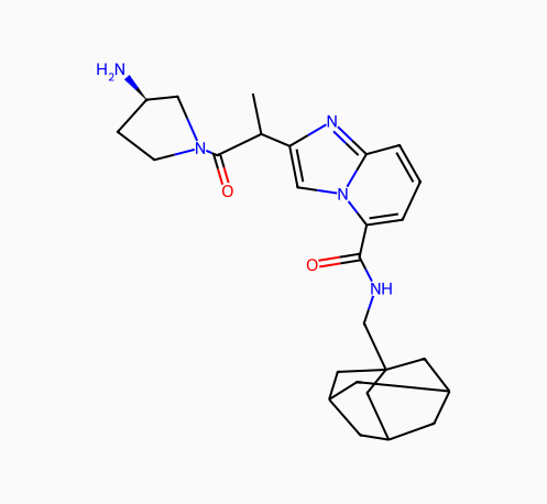 CC(C(=O)N1CC[C@@H](N)C1)c1cn2c(C(=O)NCC34CC5CC(CC(C5)C3)C4)cccc2n1